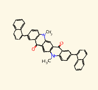 Cn1c2ccc(-c3cccc4ccccc34)cc2c(=O)c2cc3c(cc21)c(=O)c1cc(-c2cccc4ccccc24)ccc1n3C